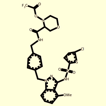 COc1cccc2c1c(NS(=O)(=O)c1ccc(Cl)s1)nn2Cc1ccc(CNC(=O)C2COCCN2OC(=O)C(F)(F)F)cc1